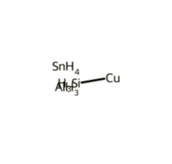 [AlH3].[SiH3][Cu].[SnH4]